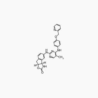 Cc1cnc(Nc2ccc3c(c2)[C@@H]2NC(=O)O[C@@H]2C3)nc1Nc1ccc(OCc2ccccn2)cc1